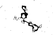 CC1CC(c2cccs2)=CCN1C(=O)c1cc2ncc(Cl)cn2n1